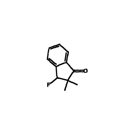 CC1(C)C(=O)c2ccccc2C1F